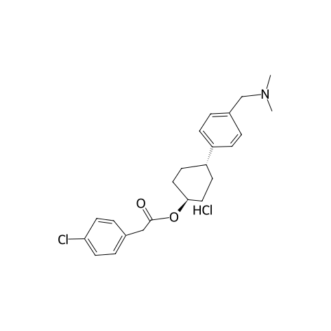 CN(C)Cc1ccc([C@H]2CC[C@H](OC(=O)Cc3ccc(Cl)cc3)CC2)cc1.Cl